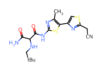 Cc1nc(NC(=O)C(NCC(C)(C)C)C(N)=O)sc1-c1csc(CC#N)n1